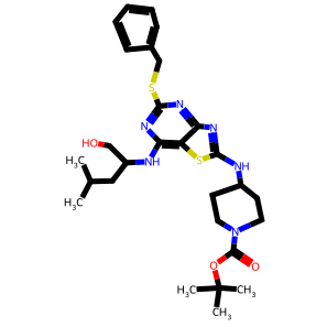 CC(C)CC(CO)Nc1nc(SCc2ccccc2)nc2nc(NC3CCN(C(=O)OC(C)(C)C)CC3)sc12